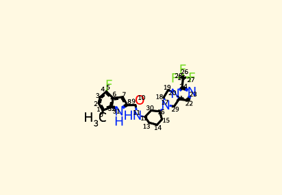 Cc1ccc(F)c2cc(C(=O)N[C@@H]3CCC[C@H](N4CCn5c(cnc5C(F)(F)F)C4)C3)[nH]c12